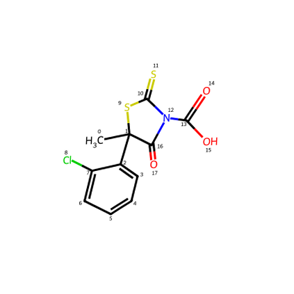 CC1(c2ccccc2Cl)SC(=S)N(C(=O)O)C1=O